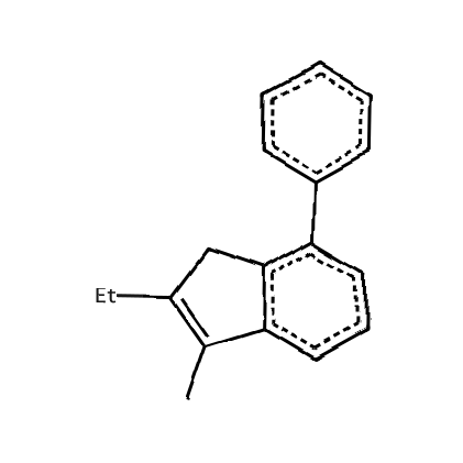 CCC1=C(C)c2cccc(-c3ccccc3)c2C1